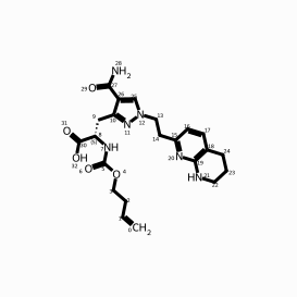 C=CCCOC(=O)N[C@@H](Cc1nn(CCc2ccc3c(n2)NCCC3)cc1C(N)=O)C(=O)O